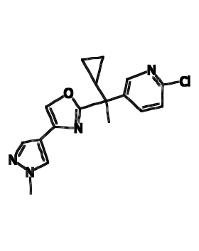 Cn1cc(-c2coc(C(C)(c3ccc(Cl)nc3)C3CC3)n2)cn1